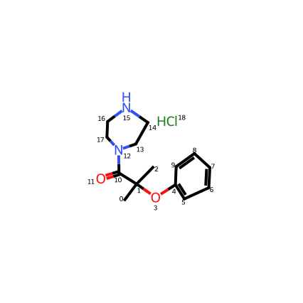 CC(C)(Oc1ccccc1)C(=O)N1CCNCC1.Cl